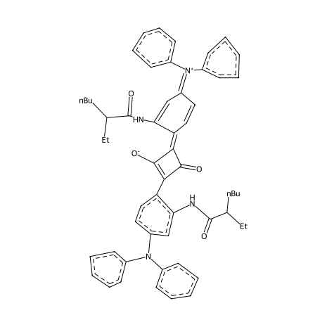 CCCCC(CC)C(=O)NC1=CC(=[N+](c2ccccc2)c2ccccc2)C=C/C1=C1\C(=O)C(c2ccc(N(c3ccccc3)c3ccccc3)cc2NC(=O)C(CC)CCCC)=C1[O-]